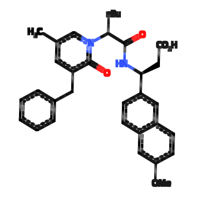 CCCCC(C(=O)N[C@@H](CC(=O)O)c1ccc2cc(OC)ccc2c1)n1cc(C)cc(Cc2ccccc2)c1=O